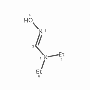 CCN(C=NO)CC